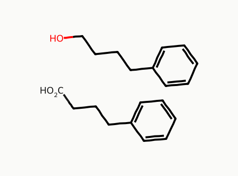 O=C(O)CCCc1ccccc1.OCCCCc1ccccc1